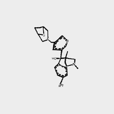 CC(C)c1ccc([C@](O)(c2cncc(N3CC4CC(C3)O4)c2)C2(C)CN(C)C2)cc1